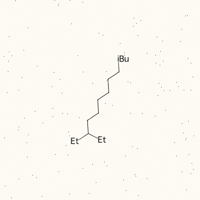 CCC(C)CCCCCCC(CC)CC